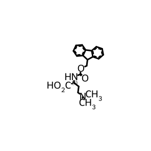 CN(C)CC[C@H](NC(=O)OCC1c2ccccc2-c2ccccc21)C(=O)O